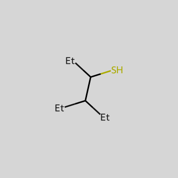 CCC(S)C(CC)CC